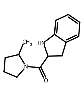 CC1CCCN1C(=O)C1Cc2ccccc2N1